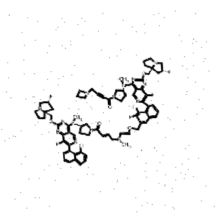 CN(C/C=C/C(=O)N1CC[C@@H](N(C)c2nc(OC[C@@]34CCCN3C[C@H](F)C4)nc3c(F)c(-c4cccc5cccc(Cl)c45)ncc23)C1)CCOCc1cc2cccc(-c3ncc4c(N(C)[C@@H]5CCN(C(=O)C#CCN6CCC6)C5)nc(OC[C@@]56CCCN5C[C@H](F)C6)nc4c3F)c2c(Cl)c1F